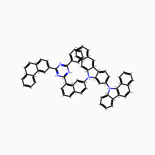 c1ccc(-c2nc(-c3ccc4ccc5ccccc5c4c3)nc(-c3cccc4ccc(-n5c6cc(-n7c8ccccc8c8ccc9ccccc9c87)ccc6c6cc7ccccc7cc65)cc34)n2)cc1